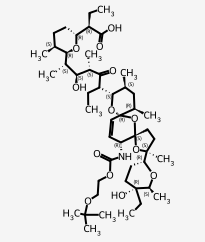 CCC(C(=O)[C@@H](C)[C@@H](O)[C@H](C)[C@@H]1O[C@@H]([C@@H](CC)C(=O)O)CC[C@@H]1C)[C@H]1O[C@]2(C=C[C@@H](NC(=O)OCCOC(C)(C)C)[C@]3(CC[C@@](C)([C@H]4CC[C@](O)(CC)[C@H](C)O4)O3)O2)[C@H](C)C[C@@H]1C